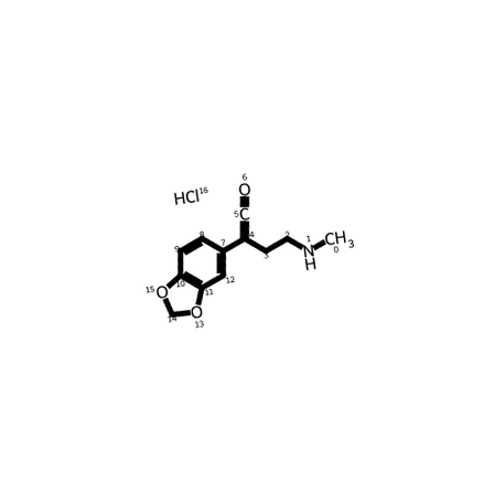 CNCCC(=C=O)c1ccc2c(c1)OCO2.Cl